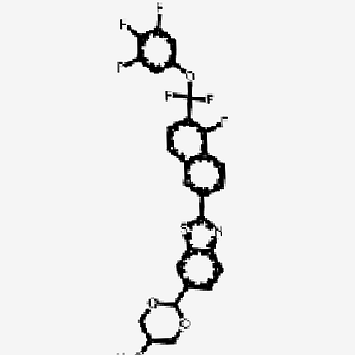 CC1COC(c2ccc3nc(-c4ccc5c(F)c(C(F)(F)Oc6cc(F)c(F)c(F)c6)ccc5c4)sc3c2)OC1